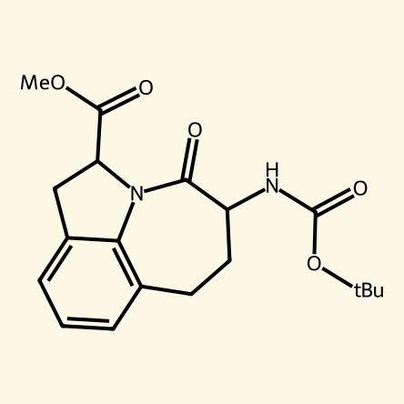 COC(=O)C1Cc2cccc3c2N1C(=O)C(NC(=O)OC(C)(C)C)CC3